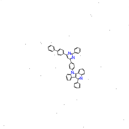 c1ccc(-c2ccc(-c3cc(-c4ccc(-n5c6ccccc6c6c(-c7ccccc7)nc7ccccc7c65)cc4)nc(-c4ccccc4)n3)cc2)cc1